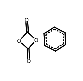 O=C1OC(=O)O1.c1ccccc1